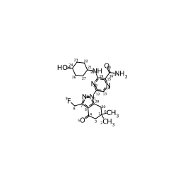 CC1(C)CC(=O)c2c(CF)nn(-c3cnc(C(N)=O)c(NC4CCC(O)CC4)n3)c2C1